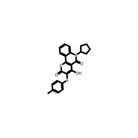 Cc1ccc(Sc2c(O)c3c(=O)n(C4CCCC4)c4ccccc4c3oc2=O)cc1